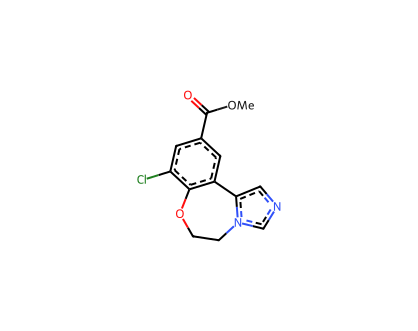 COC(=O)c1cc(Cl)c2c(c1)-c1cncn1CCO2